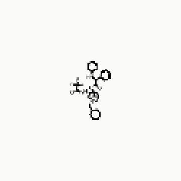 O=C(O[C@H]1C[N+]2(CC3CCCCC3)CCC1CC2)C(Nc1ccccc1)c1ccccc1.O=C([O-])C(F)(F)F